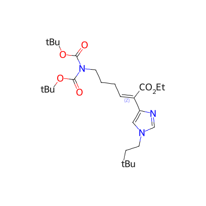 CCOC(=O)/C(=C\CCCN(C(=O)OC(C)(C)C)C(=O)OC(C)(C)C)c1cn(CCC(C)(C)C)cn1